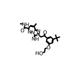 CNC(=O)c1cc(C)c2nn(CC(=O)c3cc(OCCO)cc(C(C)(C)C)c3)c(=N)n2n1